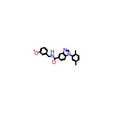 COc1cccc(CNC(=O)c2ccc3c(c2)ncn3-c2cc(C)ccc2C)c1